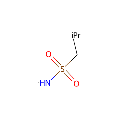 CC(C)CS([NH])(=O)=O